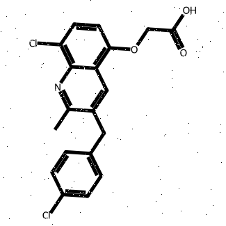 Cc1nc2c(Cl)ccc(OCC(=O)O)c2cc1Cc1ccc(Cl)cc1